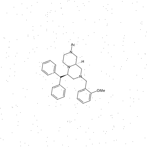 COc1ccccc1CN1C[C@@H]2CN(C(C)=O)CCN2[C@H](C(c2ccccc2)c2ccccc2)C1